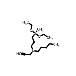 C#CCN(CCCCC)CCC[Si](C)(OCC)OCC